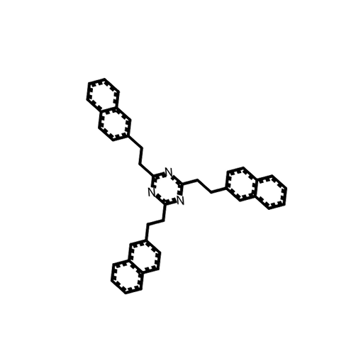 c1ccc2cc(CCc3nc(CCc4ccc5ccccc5c4)nc(CCc4ccc5ccccc5c4)n3)ccc2c1